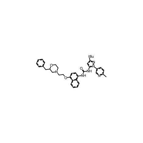 Cc1ccc(-n2nc(C(C)(C)C)cc2NC(=O)Nc2ccc(OCCN3CCOC(Cc4ccccc4)C3)c3ccccc23)cn1